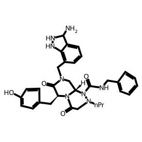 CCCN1CC(=O)N2[C@@H](Cc3ccc(O)cc3)C(=O)N(Cc3cccc4c3NNC4N)C[C@@H]2N1C(=O)NCc1ccccc1